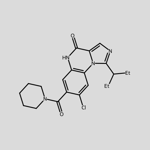 CCC(CC)c1ncc2c(=O)[nH]c3cc(C(=O)N4CCCCC4)c(Cl)cc3n12